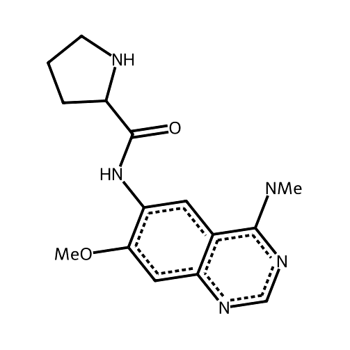 CNc1ncnc2cc(OC)c(NC(=O)C3CCCN3)cc12